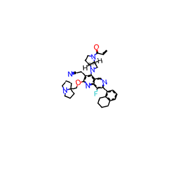 C=CC(=O)N1CC[C@@H]2[C@H]1CN2c1c(CC#N)c(OCC23CCCN2CCC3)nc2c(F)c(-c3cccc4c3CCCC4)ncc12